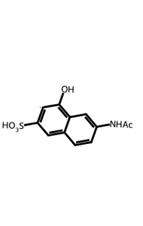 CC(=O)Nc1ccc2cc(S(=O)(=O)O)[c]c(O)c2c1